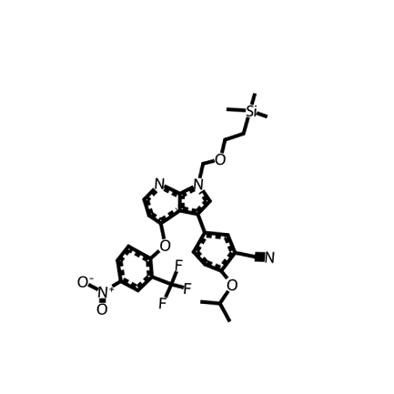 CC(C)Oc1ccc(-c2cn(COCC[Si](C)(C)C)c3nccc(Oc4ccc([N+](=O)[O-])cc4C(F)(F)F)c23)cc1C#N